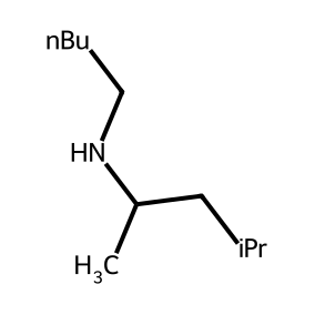 CCCCCNC(C)CC(C)C